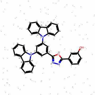 Oc1cccc(-c2nnc(-c3cc(-n4c5ccccc5c5ccccc54)cc(-n4c5ccccc5c5ccccc54)c3)o2)c1